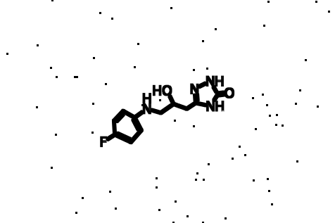 O=c1[nH]nc(CC(O)CNc2ccc(F)cc2)[nH]1